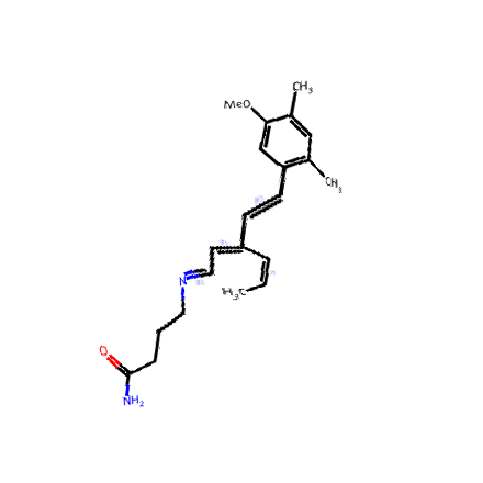 C\C=C/C(/C=C/c1cc(OC)c(C)cc1C)=C\C=N\CCCC(N)=O